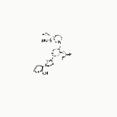 C[C@@](O)(CO)[C@H]1CCCN(Cc2ccc(-c3ccn(-c4ccccc4C#N)n3)cc2OC(F)F)C1